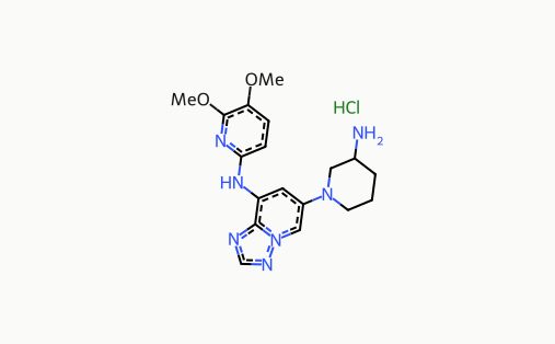 COc1ccc(Nc2cc(N3CCCC(N)C3)cn3ncnc23)nc1OC.Cl